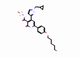 CS(=O)(=O)NC(=O)c1c(-c2ccn(CC3CC3)n2)cc(-c2ccc(OCCCCCC(F)(F)F)cc2)[nH]c1=O